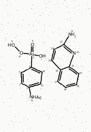 CC(=O)Nc1ccc([As](=O)(O)OO)cc1.Nc1ccc2ccccc2n1